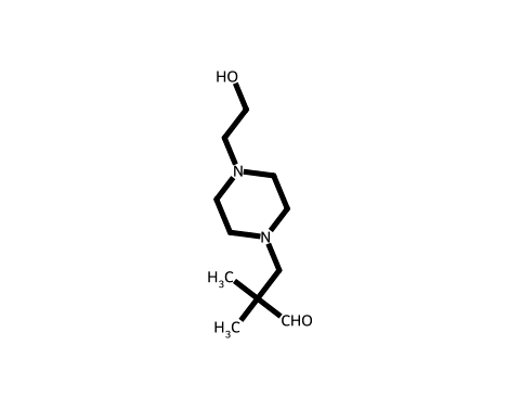 CC(C)(C=O)CN1CCN(CCO)CC1